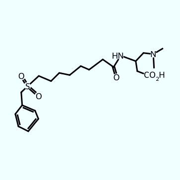 CN(C)CC(CC(=O)O)NC(=O)CCCCCCCS(=O)(=O)Cc1ccccc1